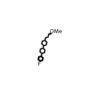 COC=CCCC1CCC(C2CCC(c3ccc(F)cc3)CC2)CC1